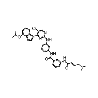 CC(C)Oc1cccc2c1ccn2-c1nc(Nc2cccc(NC(=O)c3cccc(NC(=O)C=CCN(C)C)c3)c2)ncc1Cl